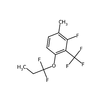 CCC(F)(F)Oc1ccc(C)c(F)c1C(F)(F)F